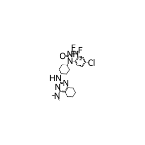 CN(C)c1nc(N[C@H]2CC[C@@H](N(C(N)=O)c3ccc(Cl)cc3C(F)(F)F)CC2)nc2c1CCCC2